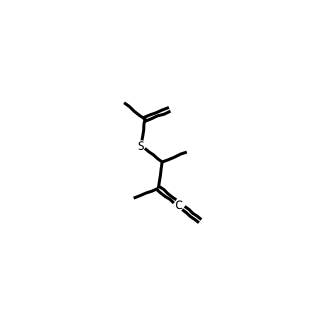 C=C=C(C)C(C)SC(=C)C